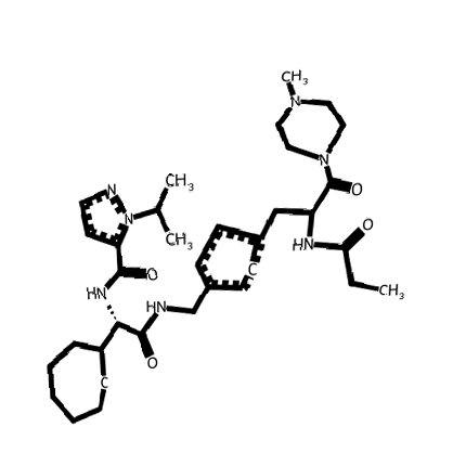 CCC(=O)NC(Cc1ccc(CNC(=O)[C@@H](NC(=O)c2ccnn2C(C)C)C2CCCCCC2)cc1)C(=O)N1CCN(C)CC1